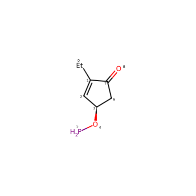 CCC1=C[C@H](OP)CC1=O